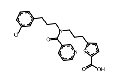 O=C(O)c1ccc(CCCN(CCCc2cccc(Cl)c2)C(=O)c2cccnc2)s1